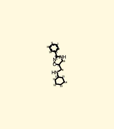 c1ccc(C2=NOC(CNC3CCCCC3)CN2)cc1